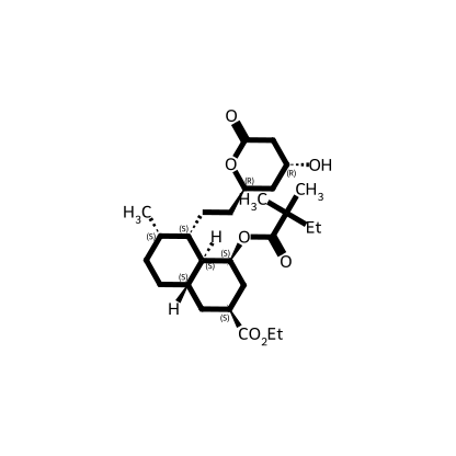 CCOC(=O)[C@H]1C[C@@H]2CC[C@H](C)[C@H](CC[C@@H]3C[C@@H](O)CC(=O)O3)[C@H]2[C@@H](OC(=O)C(C)(C)CC)C1